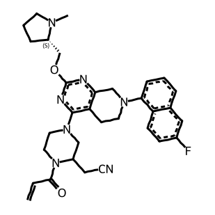 C=CC(=O)N1CCN(c2nc(OC[C@@H]3CCCN3C)nc3c2CCN(c2cccc4cc(F)ccc24)C3)CC1CC#N